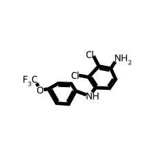 Nc1ccc(Nc2ccc(OC(F)(F)F)cc2)c(Cl)c1Cl